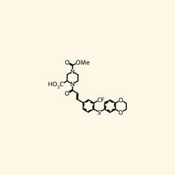 COC(=O)N1CCN(C(=O)C=Cc2ccc(Sc3ccc4c(c3)OCCO4)c(C(F)(F)F)c2)C(C(=O)O)C1